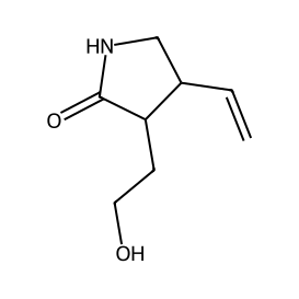 C=CC1CNC(=O)C1CCO